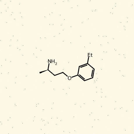 CCc1cccc(OCC[C@@H](C)N)c1